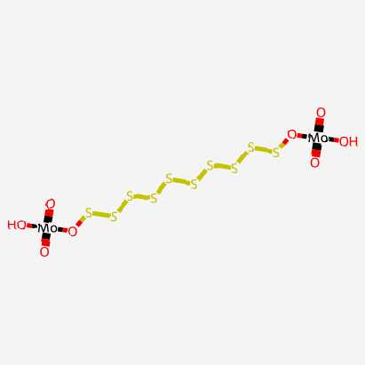 [O]=[Mo](=[O])([OH])[O]SSSSSSSSSS[O][Mo](=[O])(=[O])[OH]